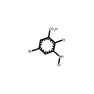 CCNc1cc(Br)cc(C(=O)O)c1CC